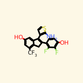 Nc1sccc1C1=C(c2ccc(O)c(F)c2F)Cc2c1cc(O)cc2C(F)(F)F